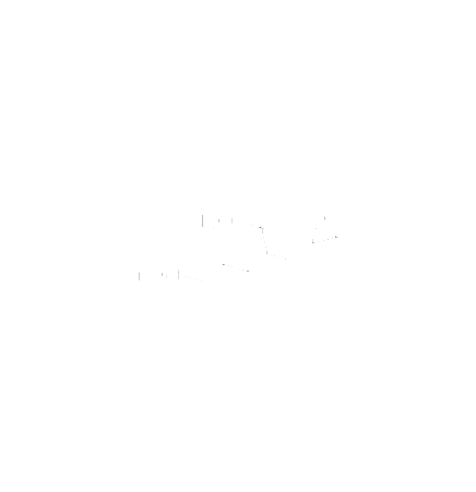 C=C(C(=O)O)C(CCCCCCCCCCC)CC1CO1